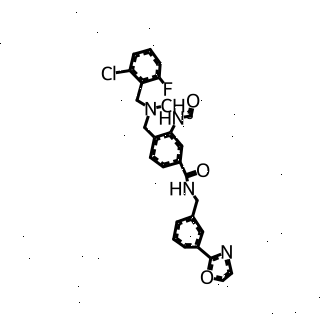 CN(Cc1ccc(C(=O)NCc2cccc(-c3ncco3)c2)cc1NC=O)Cc1c(F)cccc1Cl